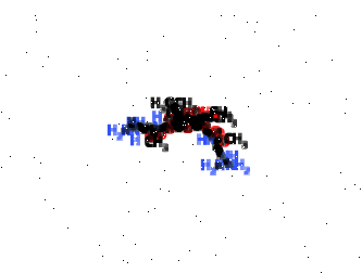 COC(=O)[C@H](CCCNC(N)N)NC(=O)COc1cc2oc3cc(OCC(=O)N[C@@H](CCCNC(N)N)C(=O)OC)c(OC)c(CC=C(C)C)c3c(=O)c2c(O)c1CC=C(C)C